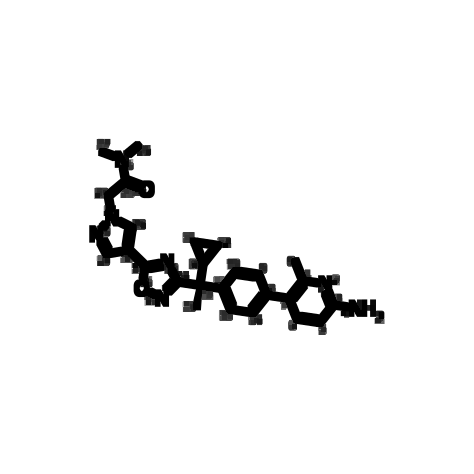 Cc1nc(N)ccc1-c1ccc([C@](C)(c2noc(-c3cnn(CC(=O)N(C)C)c3)n2)C2CC2)cc1